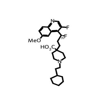 COc1ccc2ncc(F)c([C@@H](F)CCC3(C(=O)O)CCN(CCC4CCCCC4)CC3)c2c1